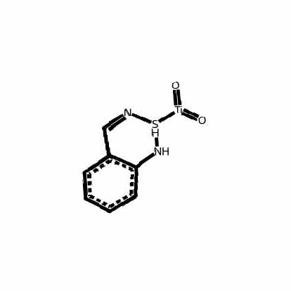 [O]=[Ti](=[O])[SH]1N=Cc2ccccc2N1